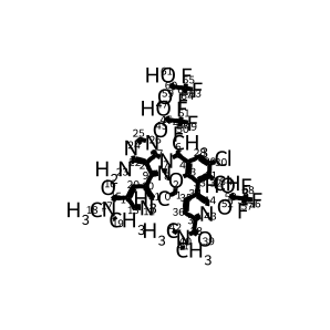 CCOc1c(C(C)n2nc(-c3cncc(C(=O)N(C)C)c3)c3c(N)ncnc32)cc(Cl)c(C)c1-c1ccc(C(=O)N(C)C)nc1.O=C(O)C(F)(F)F.O=C(O)C(F)(F)F.O=C(O)C(F)(F)F